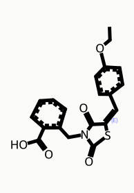 CCOc1ccc(/C=C2/SC(=O)N(Cc3ccccc3C(=O)O)C2=O)cc1